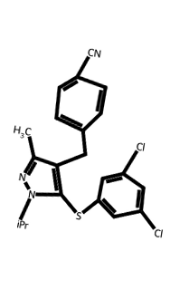 Cc1nn(C(C)C)c(Sc2cc(Cl)cc(Cl)c2)c1Cc1ccc(C#N)cc1